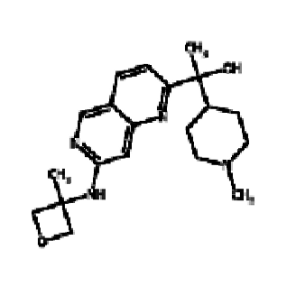 CN1CCC(C(C)(O)c2ccc3cnc(NC4(C)COC4)cc3n2)CC1